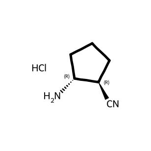 Cl.N#C[C@@H]1CCC[C@H]1N